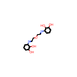 Oc1cccc(N=CCOCC=Nc2cccc(O)c2O)c1O